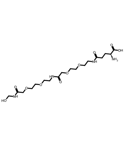 N[C@@H](CCC(=O)NCCOCCOCC(=O)NCCOCCOCC(=O)NCO)C(=O)O